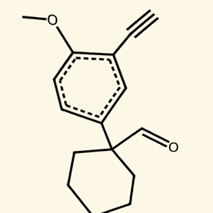 C#Cc1cc(C2(C=O)CCCCC2)ccc1OC